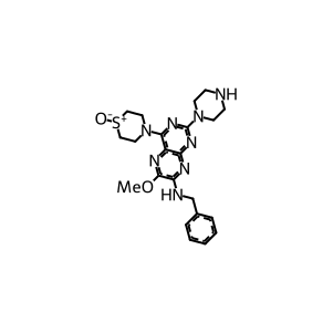 COc1nc2c(N3CC[S+]([O-])CC3)nc(N3CCNCC3)nc2nc1NCc1ccccc1